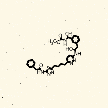 COC(=O)NC(C)c1cccc(CC(O)Nc2ccc(CCCCc3nnc(NC(=O)Cc4ccccc4)s3)nn2)c1